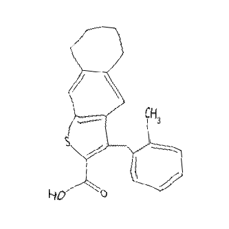 Cc1ccccc1-c1c(C(=O)O)sc2cc3c(cc12)CCCC3